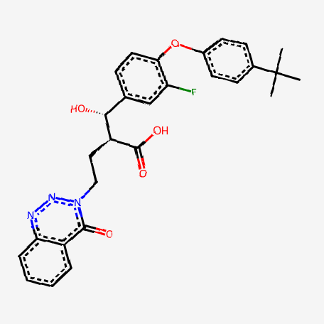 CC(C)(C)c1ccc(Oc2ccc([C@@H](O)[C@H](CCn3nnc4ccccc4c3=O)C(=O)O)cc2F)cc1